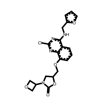 O=C1OC(COc2cccc3c(NCc4ccco4)nc(Cl)nc23)CN1C1COC1